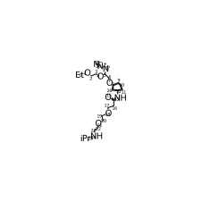 CCOCCOC(COc1cccc(NC(=O)CCOCCOCCNC(C)C)c1)N=[N+]=[N-]